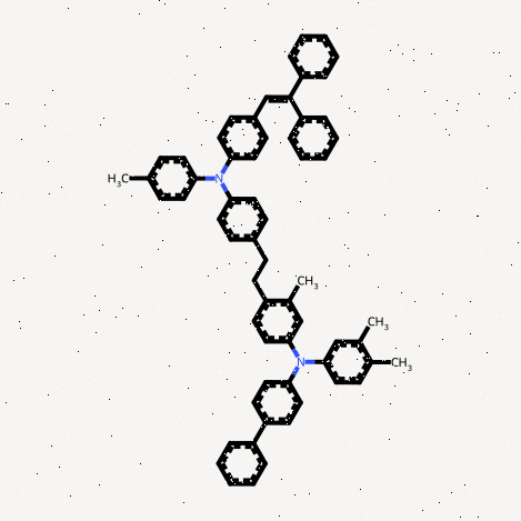 Cc1ccc(N(c2ccc(C=C(c3ccccc3)c3ccccc3)cc2)c2ccc(CCc3ccc(N(c4ccc(-c5ccccc5)cc4)c4ccc(C)c(C)c4)cc3C)cc2)cc1